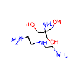 NC(CO)(CO)CO.NCCNCCN